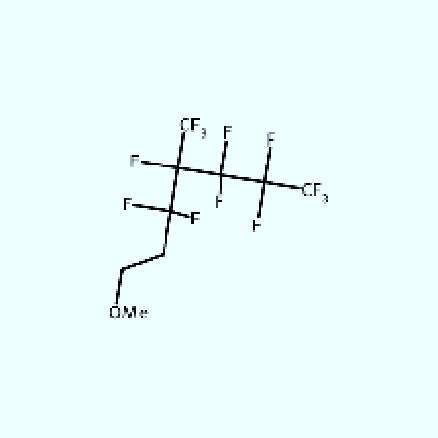 COCCC(F)(F)C(F)(C(F)(F)F)C(F)(F)C(F)(F)C(F)(F)F